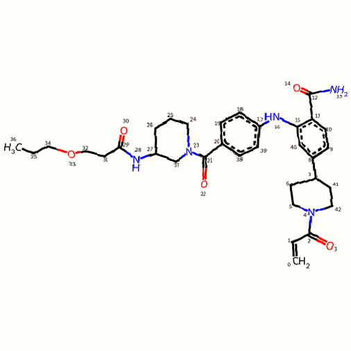 C=CC(=O)N1CCC(c2ccc(C(N)=O)c(Nc3ccc(C(=O)N4CCCC(NC(=O)CCOCCC)C4)cc3)c2)CC1